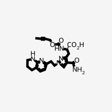 CC#CCOC(=O)N[C@@H](Cc1nn(CCc2ccc3c(n2)NCCC3)cc1C(N)=O)C(=O)O